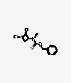 O=C1C(N(Cl)C(=O)OCc2ccccc2)CN1Cl